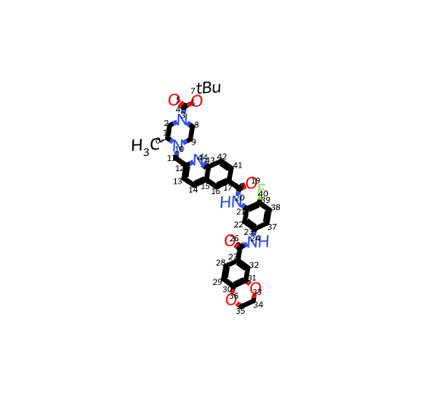 C[C@@H]1CN(C(=O)OC(C)(C)C)CCN1Cc1ccc2cc(C(=O)Nc3cc(NC(=O)c4ccc5c(c4)OCCO5)ccc3F)ccc2n1